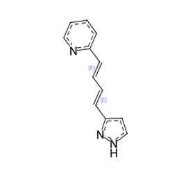 C(/C=C/c1cc[nH]n1)=C\c1ccccn1